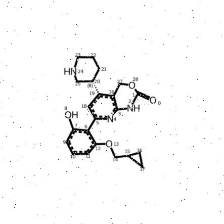 O=C1Nc2nc(-c3c(O)cccc3OCC3CC3)cc([C@H]3CCCNC3)c2CO1